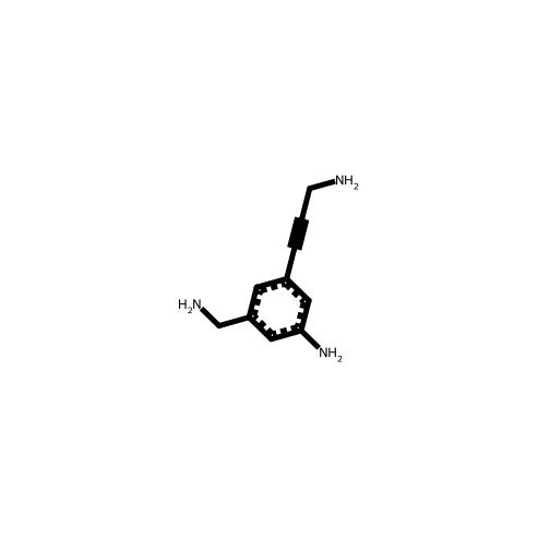 NCC#Cc1cc(N)cc(CN)c1